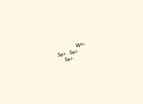 [Se-2].[Se-2].[Se-2].[W+6]